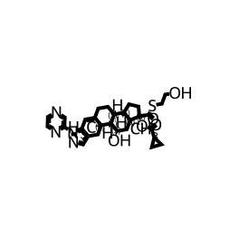 C[C@]12Cc3cnn(-c4cnccn4)c3C=C1CC[C@@H]1[C@@H]2[C@@H](O)C[C@@]2(C)[C@H]1CC[C@]2(OC(=O)C1CC1)C(=O)SCCO